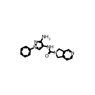 Nc1nn(-c2ccccc2)cc1NC(=O)N1Cc2ccncc2C1